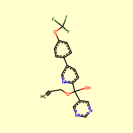 C#CCOC(O)(c1cncnc1)c1ccc(-c2ccc(OC(F)(F)F)cc2)cn1